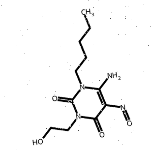 CCCCCn1c(N)c(N=O)c(=O)n(CCO)c1=O